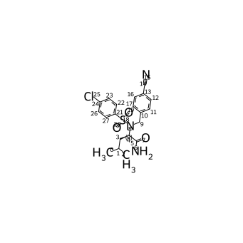 CC(C)C[C@H](C(N)=O)N(Cc1ccc(C#N)cc1)S(=O)(=O)c1ccc(Cl)cc1